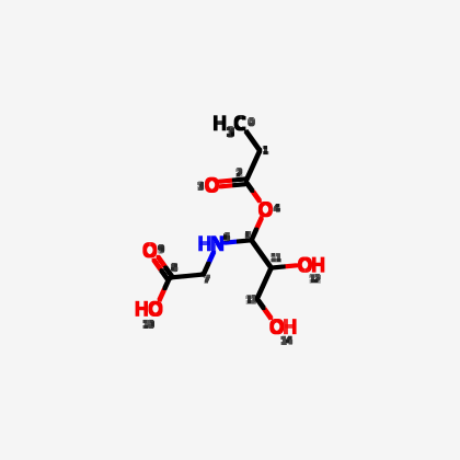 CCC(=O)OC(NCC(=O)O)C(O)CO